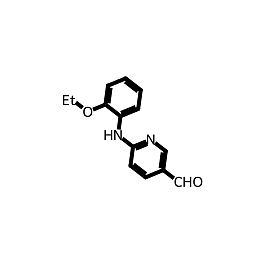 CCOc1ccccc1Nc1ccc(C=O)cn1